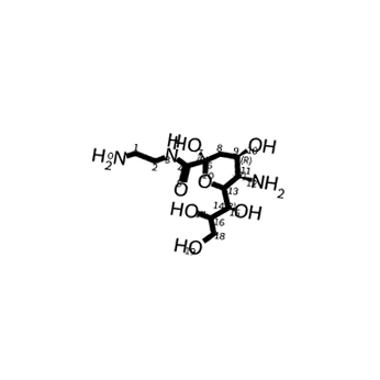 NCCNC(=O)[C@@]1(O)C[C@@H](O)[C@@H](N)C([C@H](O)C(O)CO)O1